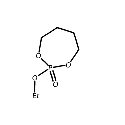 CCOP1(=O)OCCCCO1